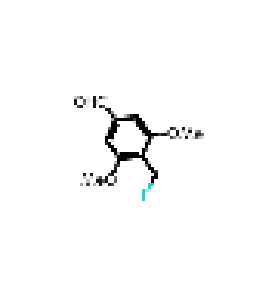 COc1cc(C=O)cc(OC)c1CF